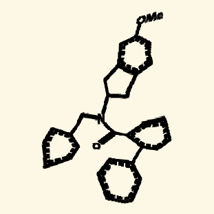 COc1ccc2c(c1)CC(N(Cc1ccccc1)C(=O)c1ccccc1-c1ccccc1)C2